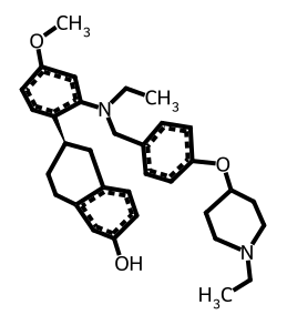 CCN1CCC(Oc2ccc(CN(CC)c3cc(OC)ccc3[C@@H]3CCc4cc(O)ccc4C3)cc2)CC1